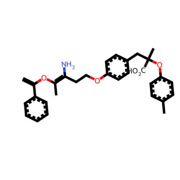 C=C(O/C(C)=C(\N)CCOc1ccc(CC(C)(Oc2ccc(C)cc2)C(=O)O)cc1)c1ccccc1